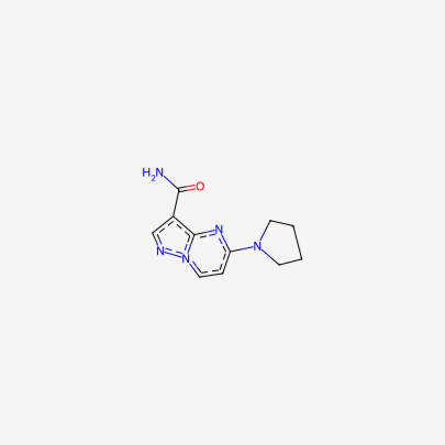 NC(=O)c1cnn2ccc(N3CCCC3)nc12